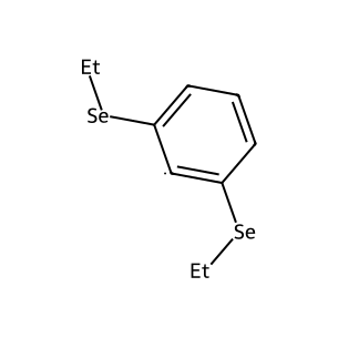 CC[Se]c1[c]c([Se]CC)ccc1